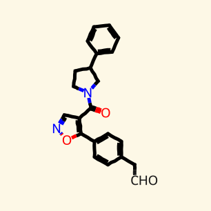 O=CCc1ccc(-c2oncc2C(=O)N2CCC(c3ccccc3)C2)cc1